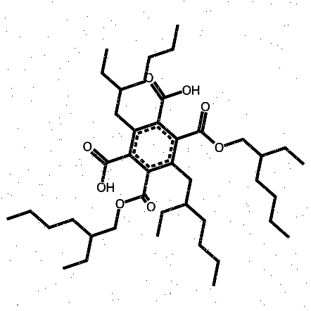 CCCCC(CC)COC(=O)c1c(CC(CC)CCCC)c(C(=O)OCC(CC)CCCC)c(C(=O)O)c(CC(CC)CCCC)c1C(=O)O